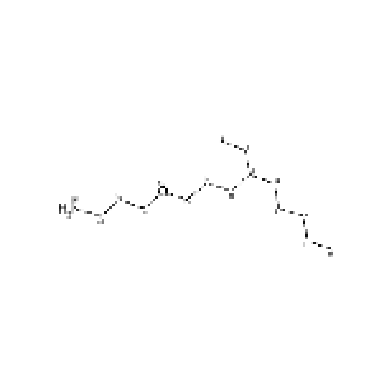 CCCCCC(CC)CCCOCCCN